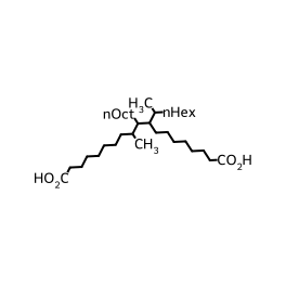 CCCCCCCCC(C(C)CCCCCCCC(=O)O)C(CCCCCCCC(=O)O)C(C)CCCCCC